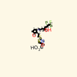 C[C@@](O)(C/C=C/[C@H]1CCC(=O)[C@@H]1CCSc1nc(OC(=O)O)cs1)CCC(F)=C(F)F